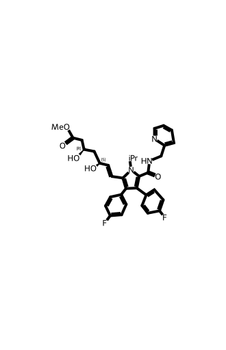 COC(=O)C[C@H](O)C[C@H](O)C=Cc1c(-c2ccc(F)cc2)c(-c2ccc(F)cc2)c(C(=O)NCc2ccccn2)n1C(C)C